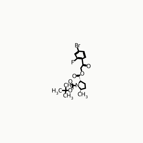 C[C@H]1CC[C@@H](C(=O)OCC(=O)c2ccc(Br)cc2F)N1C(=O)OC(C)(C)C